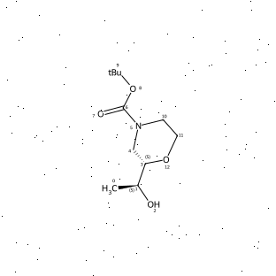 C[C@H](O)[C@@H]1CN(C(=O)OC(C)(C)C)CCO1